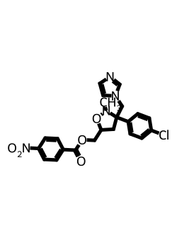 CN1OC(COC(=O)c2ccc([N+](=O)[O-])cc2)CC1(Cn1ccnc1)c1ccc(Cl)cc1